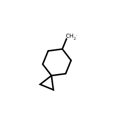 [CH2]C1CCC2(CC1)CC2